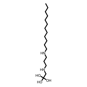 CCCCCCCCCCCCNCCCNCC(O)(O)O